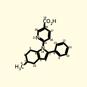 CC1CCc2c(cc(-c3ccccc3)n2-c2ccc(C(=O)O)cn2)C1